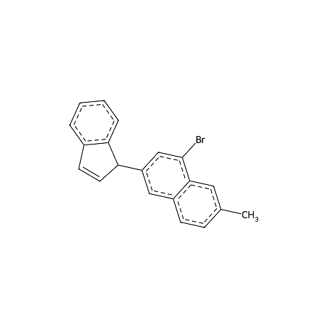 Cc1ccc2cc(C3C=Cc4ccccc43)cc(Br)c2c1